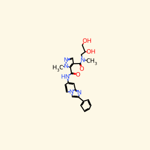 CN(CC(O)CO)C(=O)c1cnn(C)c1C(=O)Nc1ccn2cc(-c3ccccc3)nc2c1